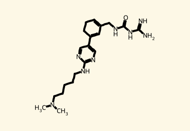 CN(C)CCCCCNc1ncc(C2=CC(CNC(=O)NC(=N)N)=CCC2)cn1